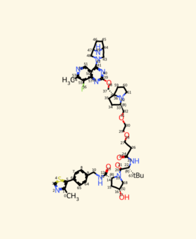 Cc1ncsc1-c1ccc(CNC(=O)[C@H]2C[C@H](O)CN2C(=O)[C@H](NC(=O)CCOCCOC[C@H]2CC[C@@]3(COc4nc(N5CC6CCC(C5)N6)c5cnc(C)c(F)c5n4)CCCN23)C(C)(C)C)cc1